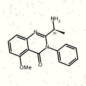 COc1cccc2nc([C@H](C)N)n(-c3ccccc3)c(=O)c12